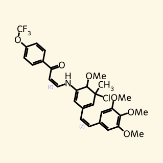 COc1cc(/C=C\C2=CC(C)(Cl)C(OC)C(N/C=C\C(=O)c3ccc(OC(F)(F)F)cc3)=C2)cc(OC)c1OC